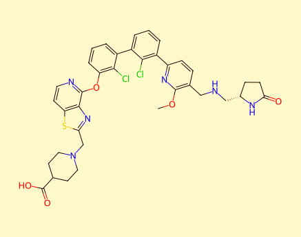 COc1nc(-c2cccc(-c3cccc(Oc4nccc5sc(CN6CCC(C(=O)O)CC6)nc45)c3Cl)c2Cl)ccc1CNC[C@@H]1CCC(=O)N1